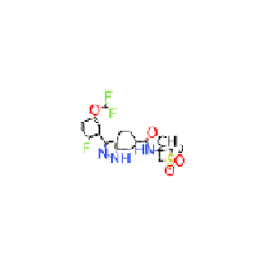 CC1(NC(=O)[C@@H]2CCc3c(-c4cc(OC(F)F)ccc4F)n[nH]c3C2)CS(=O)(=O)C1